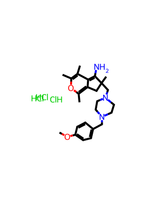 COc1ccc(CN2CCN(CC3(C)CC4=C(C)OC(C)=C(C)C4=C3N)CC2)cc1.Cl.Cl.Cl